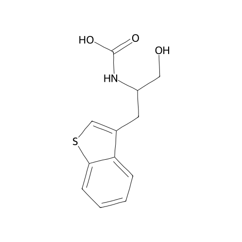 O=C(O)NC(CO)Cc1csc2ccccc12